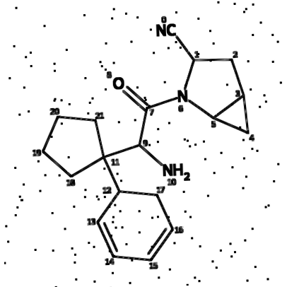 N#CC1CC2CC2N1C(=O)C(N)C1(C2C=CC=CC2)CCCC1